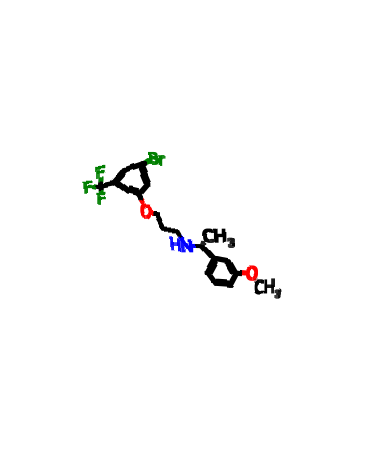 COc1cccc([C@@H](C)NCCCOc2cc(Br)cc(C(F)(F)F)c2)c1